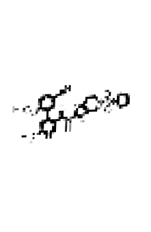 COc1ccc(C#N)cc1-c1cc(C)ncc1C(=O)Nc1nc2c(s1)CN(S(=O)(=O)N1CCCC1)CC2